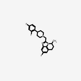 CC1CCc2cc(F)cc3nc(CN4CCC(c5ccc(F)cc5F)CC4)n1c23